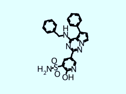 NS(=O)(=O)c1cc(-c2nc(NCc3ccccc3)c3c(-c4ccccc4)ccn3n2)cnc1O